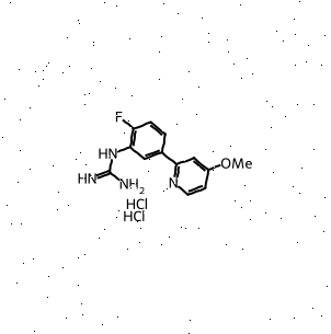 COc1ccnc(-c2ccc(F)c(NC(=N)N)c2)c1.Cl.Cl